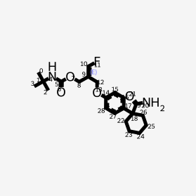 CC(C)(C)NC(=O)OC/C(=C/F)COc1ccc(C2(C(N)=O)CCCCC2)cc1